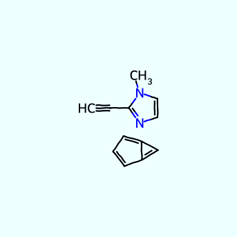 C#Cc1nccn1C.c1cc2cc-2c1